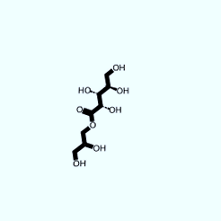 O=C(OCC(O)CO)[C@@H](O)[C@H](O)[C@H](O)CO